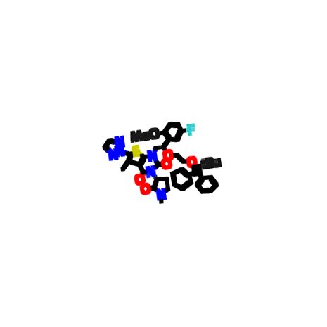 COc1ccc(F)cc1[C@H](Cn1c(=O)n([C@@H]2CCN(C)C2=O)c(=O)c2c(C)c(-n3nccn3)sc21)OCCO[Si](c1ccccc1)(c1ccccc1)C(C)(C)C